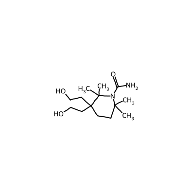 CC1(C)CCC(CCO)(CCO)C(C)(C)N1C(N)=O